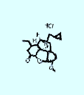 CCC1CC(=O)C2Oc3c(OC)ccc4c3[C@@]23CCN(CC2CC2)[C@H](C4)[C@H]13.Cl